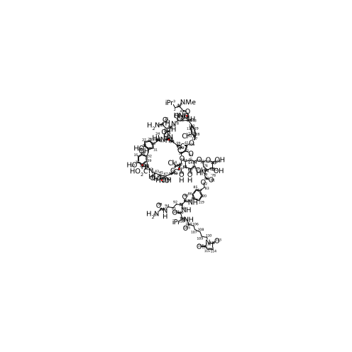 CN[C@H](CC(C)C)C(=O)N[C@H]1C(=O)N[C@@H](CC(N)=O)C(=O)N[C@H]2C(=O)N[C@@H](C)c3ccc(O)c(c3)-c3c(O)cc(O)cc3[C@H](C(=O)O)NC(=O)[C@@H](N=O)[C@H](O)c3ccc(c(Cl)c3)Oc3cc2cc(c3O[C@H]2C[C@@H](CO)[C@H](O)[C@@H](O)[C@@H]2O[C@H]2C[C@](C)(NC(=O)OCc3ccc(NC(=O)[C@H](CCCNC(N)=O)NC(=O)[C@@H](NC(=O)CCCCCN4C(=O)C=CC4=O)C(C)C)cc3)[C@H](O)[C@H](O)O2)Oc2ccc(cc2Cl)[C@H]1O